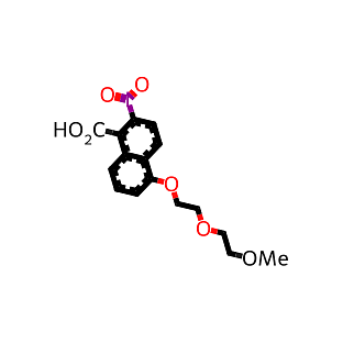 COCCOCCOc1cccc2c(C(=O)O)c(I(=O)=O)ccc12